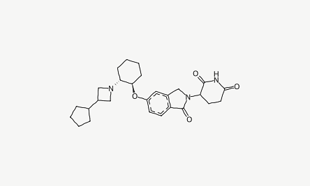 O=C1CCC(N2Cc3cc(O[C@@H]4CCCC[C@H]4N4CC(C5CCCC5)C4)ccc3C2=O)C(=O)N1